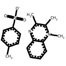 Cc1ccc(S(=O)(=O)[O-])cc1.Cc1nc2ccccc2[n+](C)c1C